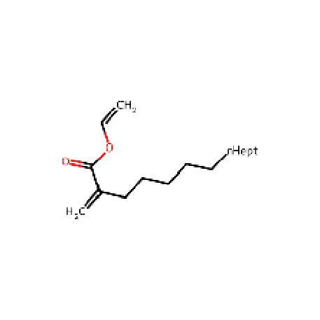 C=COC(=O)C(=C)CCCCCCCCCCCC